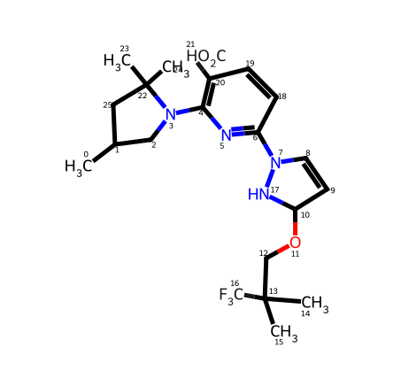 CC1CN(c2nc(N3C=CC(OCC(C)(C)C(F)(F)F)N3)ccc2C(=O)O)C(C)(C)C1